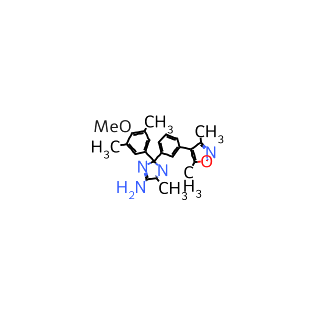 COc1c(C)cc(C2(c3cccc(-c4c(C)noc4C)c3)N=C(C)C(N)=N2)cc1C